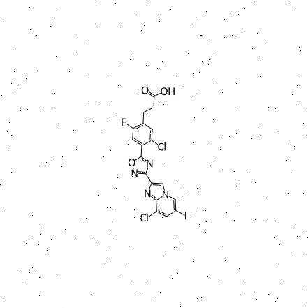 O=C(O)CCc1cc(Cl)c(-c2nc(-c3cn4cc(I)cc(Cl)c4n3)no2)cc1F